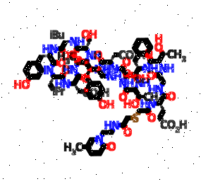 CC[C@H](C)[C@H](NC(=O)[C@H](CO)NC(=O)[C@H](Cc1ccc(O)cc1)NC(=O)[C@H](CC(=O)O)NC(=O)[C@H](CO)NC(=O)[C@@H](NC(=O)[C@H](Cc1ccccc1)NC(=O)[C@@H](NC(=O)CNC(=O)[C@H](CCC(=O)O)NC(=O)CSCC(=O)NCCn1cc(C)ccc1=O)[C@@H](C)O)[C@@H](C)O)C(=O)N[C@@H](Cc1ccc(O)cc1)C(=O)N[C@@H](CC(C)C)C(=O)N[C@@H](CC(=O)O)C(=O)N[C@H](C)CCCCN